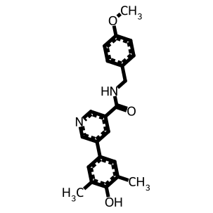 COc1ccc(CNC(=O)c2cncc(-c3cc(C)c(O)c(C)c3)c2)cc1